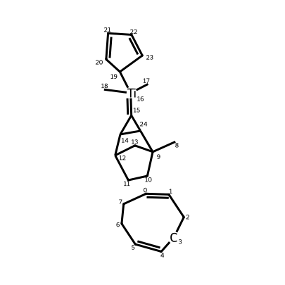 C1=C\CC/C=C\CC/1.CC12CCC(C1)C1[C](=[Ti]([CH3])([CH3])[CH]3C=CC=C3)C12